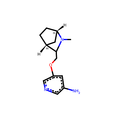 CN1C(COc2cncc(N)c2)[C@@H]2CC[C@H]1C2